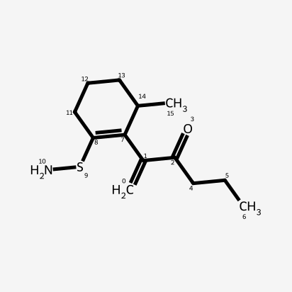 C=C(C(=O)CCC)C1=C(SN)CCCC1C